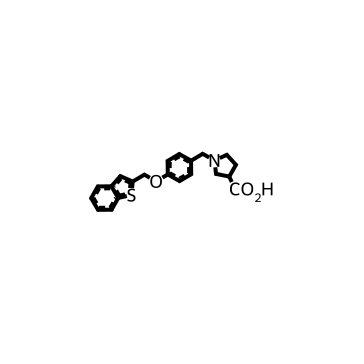 O=C(O)C1CCN(Cc2ccc(OCc3cc4ccccc4s3)cc2)C1